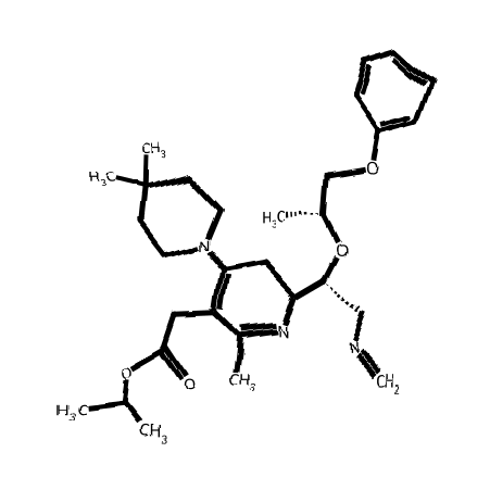 C=NC[C@@H](O[C@H](C)COc1ccccc1)C1CC(N2CCC(C)(C)CC2)=C(CC(=O)OC(C)C)C(C)=N1